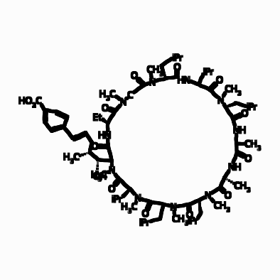 CC[C@@H]1NC(=O)[C@H]([C@H](O)[C@H](C)C/C=C/c2ccc(C(=O)O)cc2)N(C)C(=O)[C@H](C(C)C)N(C)C(=O)C(CC(C)C)N(C)C(=O)[C@H](CC(C)C)N(C)C(=O)[C@@H](C)NC(=O)C(C)NC(=O)[C@H](CC(C)C)N(C)C(=O)C(C(C)C)NC(=O)[C@H](CC(C)C)N(C)C(=O)CN(C)C1=O